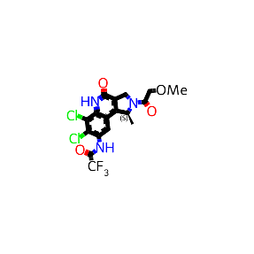 COCC(=O)N1Cc2c(c3cc(NC(=O)C(F)(F)F)c(Cl)c(Cl)c3[nH]c2=O)[C@@H]1C